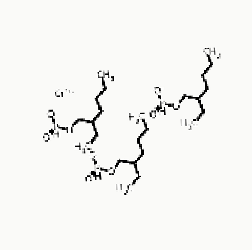 CCCCC(CC)CO[PH](=O)[O-].CCCCC(CC)CO[PH](=O)[O-].CCCCC(CC)CO[PH](=O)[O-].[Cr+3]